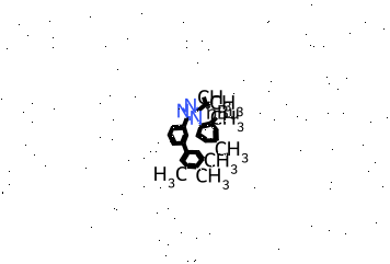 CCCCC(C)(C)c1nnc(-c2cccc(-c3cc(C)c(C)c(C)c3)c2)n1-c1ccc(C)cc1C